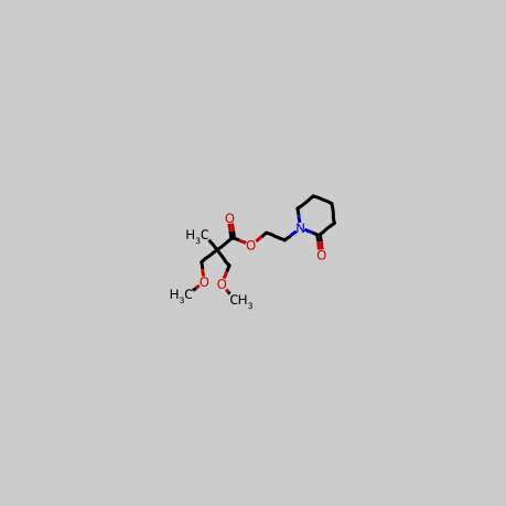 COCC(C)(COC)C(=O)OCCN1CCCCC1=O